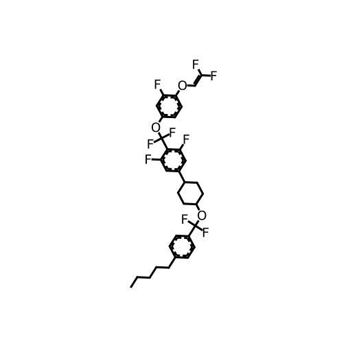 CCCCCc1ccc(C(F)(F)OC2CCC(c3cc(F)c(C(F)(F)Oc4ccc(OC=C(F)F)c(F)c4)c(F)c3)CC2)cc1